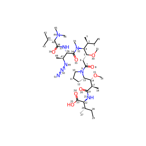 CC[C@H](C)[C@@H]([C@@H](CC(=O)N1CCC[C@H]1[C@H](OC)[C@@H](C)C(=O)N[C@H](C(=O)O)[C@@H](C)CC)OC)N(C)C(=O)[C@@H](NC(=O)[C@H](C(C)C)N(C)C)[C@H](C)N=[N+]=[N-]